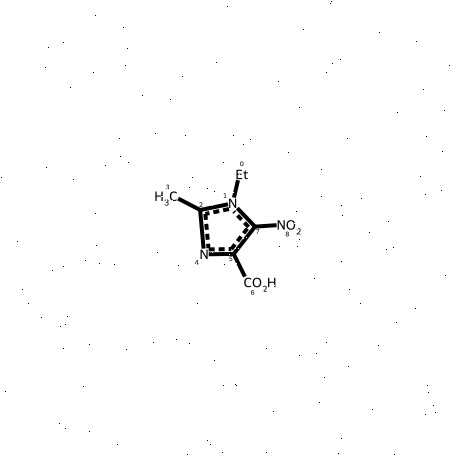 CCn1c(C)nc(C(=O)O)c1[N+](=O)[O-]